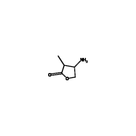 CC1C(=O)OCC1N